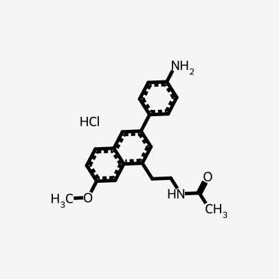 COc1ccc2cc(-c3ccc(N)cc3)cc(CCNC(C)=O)c2c1.Cl